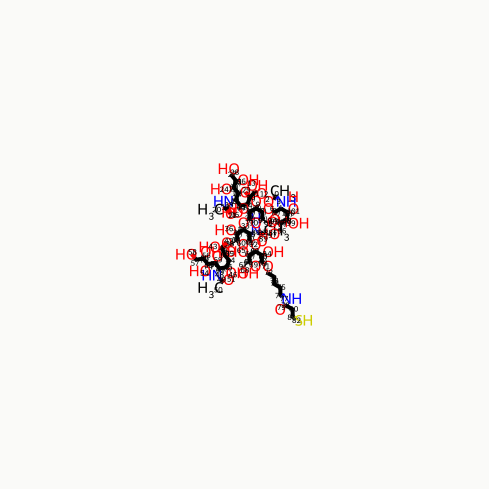 CC(=O)NC1[C@H](O[C@@H]2[C@H](O[C@@]3(C(=O)O)C[C@@H](O)[C@H](NC(C)=O)[C@@H]([C@H](O)[C@H](O)CO)O3)[C@@H](O)[C@H](O[C@H]3[C@H](O)[C@@H](CO[C@]4(C(=O)O)C[C@H](O)[C@@H](NC(C)=O)[C@H]([C@H](O)[C@H](O)CO)O4)O[C@@H](O[C@H]4[C@@H](O)[C@@H](CO)O[C@@H](OCCCCCNC(=O)CCS)[C@@H]4O)[C@@H]3NC(C)=O)O[C@@H]2CO)O[C@H](CO)[C@H](O)[C@@H]1O